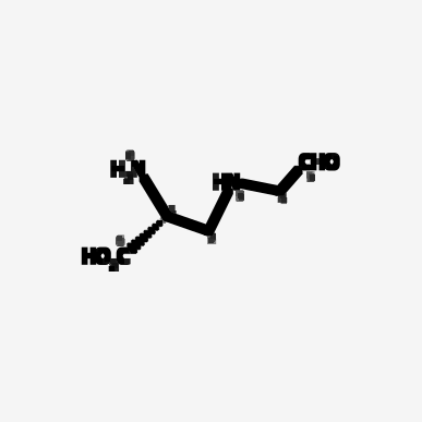 N[C@H](CNCC=O)C(=O)O